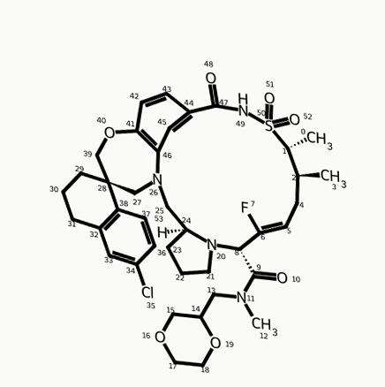 C[C@@H]1[C@@H](C)C/C=C(\F)[C@H](C(=O)N(C)CC2COCCO2)N2CCC[C@H]2CN2C[C@@]3(CCCc4cc(Cl)ccc43)COc3ccc(cc32)C(=O)NS1(=O)=O